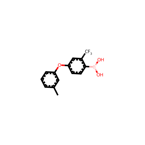 Cc1cccc(Oc2ccc(B(O)O)c(C(F)(F)F)c2)c1